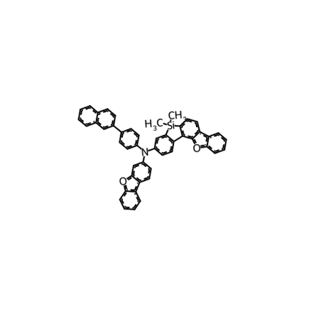 C[Si]1(C)c2cc(N(c3ccc(-c4ccc5ccccc5c4)cc3)c3ccc4c(c3)oc3ccccc34)ccc2-c2c1ccc1c2oc2ccccc21